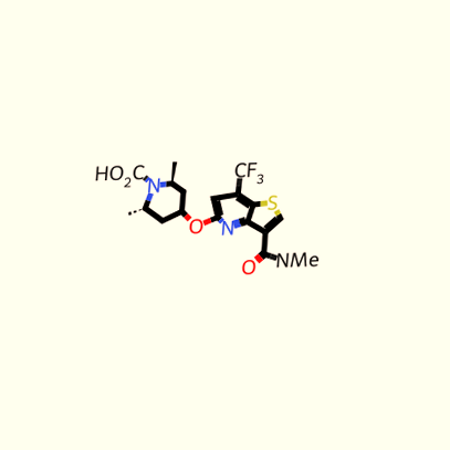 CNC(=O)c1csc2c(C(F)(F)F)cc(OC3C[C@H](C)N(C(=O)O)[C@@H](C)C3)nc12